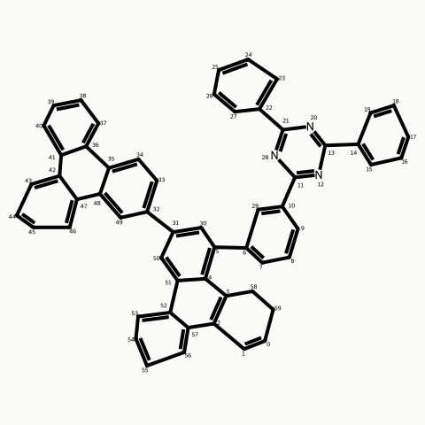 C1=Cc2c(c3c(-c4cccc(-c5nc(-c6ccccc6)nc(-c6ccccc6)n5)c4)cc(-c4ccc5c6ccccc6c6ccccc6c5c4)cc3c3ccccc23)CC1